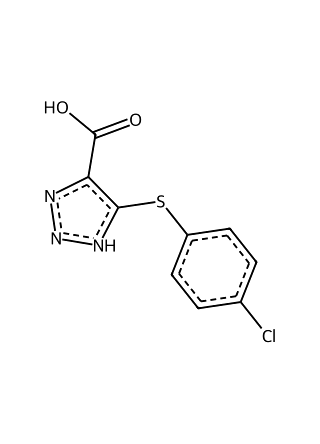 O=C(O)c1nn[nH]c1Sc1ccc(Cl)cc1